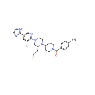 N#Cc1ccc(C(=O)N2CCC(N3CCN(c4ncc(-c5ncc[nH]5)cc4Cl)C[C@@H]3CCF)CC2)cc1